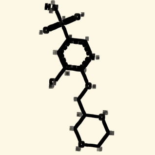 NS(=O)(=O)c1cnc(OCC2COCCO2)c(Cl)c1